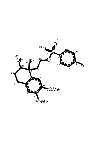 COc1cc2c(cc1OC)C(CCOS(=O)(=O)c1ccc(C)cc1)(C(C)C)C(O)CC2